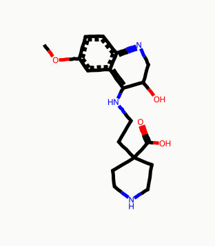 COc1ccc2c(c1)=C(NCCC1(C(=O)O)CCNCC1)C(O)CN=2